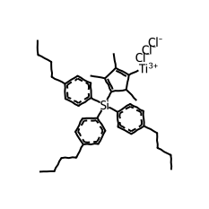 CCCCc1ccc([Si](C2=C(C)C(C)=[C]([Ti+3])C2C)(c2ccc(CCCC)cc2)c2ccc(CCCC)cc2)cc1.[Cl-].[Cl-].[Cl-]